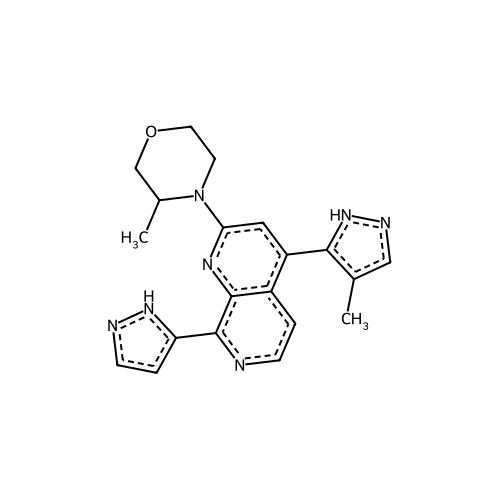 Cc1cn[nH]c1-c1cc(N2CCOCC2C)nc2c(-c3ccn[nH]3)nccc12